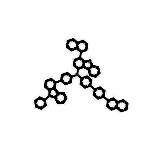 c1ccc(-n2c3ccccc3c3c(-c4ccc(N(c5ccc(-c6ccc(-c7ccc8ccccc8c7)cc6)cc5)c5ccc(-c6cccc7ccccc67)c6sc7ccccc7c56)cc4)cccc32)cc1